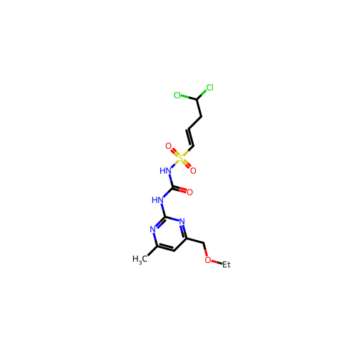 CCOCc1cc(C)nc(NC(=O)NS(=O)(=O)/C=C/CC(Cl)Cl)n1